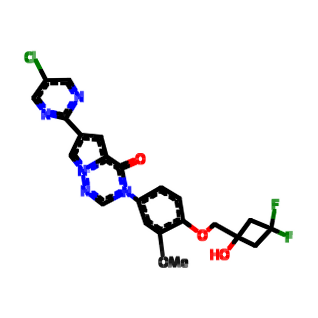 COc1cc(-n2cnn3cc(-c4ncc(Cl)cn4)cc3c2=O)ccc1OCC1(O)CC(F)(F)C1